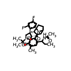 CCC(NC(C)=O)c1cc(C)c(Cl)cc1C1CC2CCC(C1)N2C(=O)[C@@H]1CN(C(C)(C)C)C[C@H]1c1ccc(F)cc1F